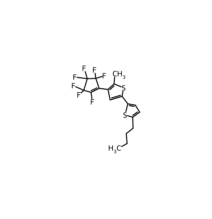 CCCCc1ccc(-c2cc(C3=C(F)C(F)(F)C(F)(F)C3(F)F)c(C)s2)s1